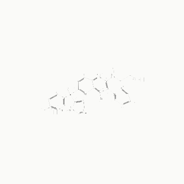 CN(CCO)c1nc2ccc(C(O)(c3ccc(Cl)cc3)c3cncn3C)cc2c(Cl)c1-c1ccccc1